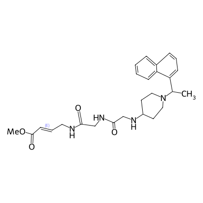 COC(=O)/C=C/CNC(=O)CNC(=O)CNC1CCN(C(C)c2cccc3ccccc23)CC1